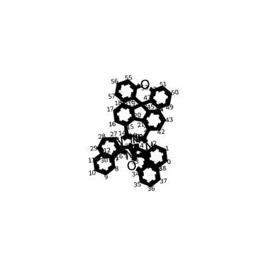 c1ccc(-c2nc(-c3ccccc3)nc(-c3cccc4c3-c3c(-c5nc(-c6ccccc6)c6oc7ccccc7c6n5)cccc3C43c4ccccc4Oc4ccccc43)n2)cc1